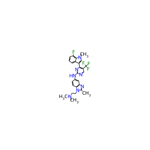 Cc1nc2cc(Nc3ncc(C(F)(F)F)c(-c4cn(C)c5c(F)cccc45)n3)ccc2n1CCN(C)C